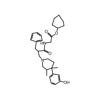 CC1CN(CC(Cc2ccccc2)C(=O)NCC(=O)OC2CCCCC2)CCC1(C)c1cccc(O)c1